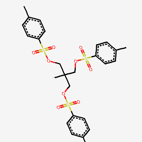 [CH2]C(COS(=O)(=O)c1ccc(C)cc1)(COS(=O)(=O)c1ccc(C)cc1)COS(=O)(=O)c1ccc(C)cc1